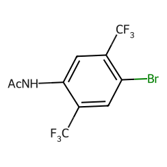 CC(=O)Nc1cc(C(F)(F)F)c(Br)cc1C(F)(F)F